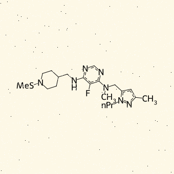 CCCn1nc(C)cc1CN(C)c1ncnc(NCC2CCN(SC)CC2)c1F